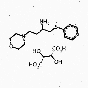 NC(CCN1CCOCC1)CSc1ccccc1.O=C(O)[C@H](O)[C@@H](O)C(=O)O